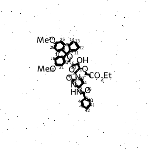 CCOC(=O)CO[C@@H]1[C@H](O)[C@@H](COC(c2ccccc2)(c2ccc(OC)cc2)c2ccc(OC)cc2)O[C@H]1n1ccc(NC(=O)c2ccccc2)nc1=O